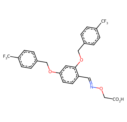 O=C(O)CO/N=C/c1ccc(OCc2ccc(C(F)(F)F)cc2)cc1OCc1ccc(C(F)(F)F)cc1